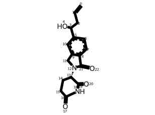 C=CCC(O)c1ccc2c(c1)CN([C@H]1CCC(=O)NC1=O)C2=O